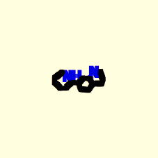 C1=CC=C(c2ccc3cccnc3c2)NC=C1